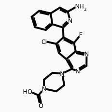 Nc1cc2ccccc2c(-c2c(Cl)cc3c(N4CCN(C(=O)O)CC4)ncnc3c2F)n1